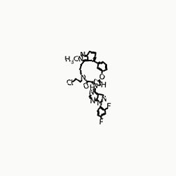 Cn1nc2cccc3c2c1CCCN(CCCl)C(=O)[C@@H]1C[C@@H](CN1c1ncnc2c1cnn2-c1ccc(F)cc1F)Oc1cccc-3c1